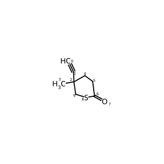 C#CC1(C)CCC(=O)SC1